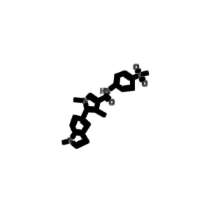 Cc1c(C(=O)Nc2ccc(S(C)(=O)=O)cc2)cn(C)c1-c1ccc2c(ccn2C)c1